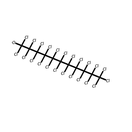 [O]C(Cl)(Cl)C(Cl)(Cl)C(Cl)(Cl)C(Cl)(Cl)C(Cl)(Cl)C(Cl)(Cl)C(Cl)(Cl)C(Cl)(Cl)C(Cl)(Cl)C(Cl)(Cl)C(Cl)(Cl)Cl